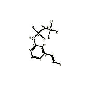 CC=Cc1cccc(OC(C)(C)O[Si](C)(C)C)c1